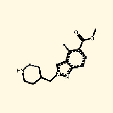 COC(=O)c1ccc2nn(CC3CCNCC3)cc2c1C